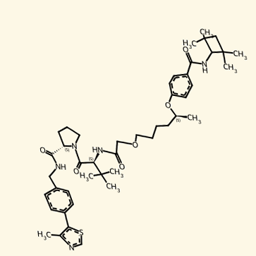 Cc1ncsc1-c1ccc(CNC(=O)[C@@H]2CCCN2C(=O)[C@@H](NC(=O)COCCCC[C@H](C)Oc2ccc(C(=O)NC3C(C)(C)CC3(C)C)cc2)C(C)(C)C)cc1